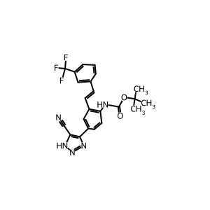 CC(C)(C)OC(=O)Nc1ccc(-c2nn[nH]c2C#N)cc1C=Cc1cccc(C(F)(F)F)c1